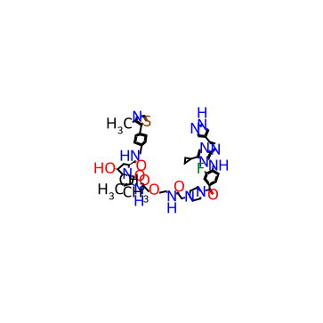 Cc1ncsc1-c1ccc(CNC(=O)[C@@H]2C[C@@H](O)CN2C(=O)[C@@H](NC(=O)COCCNC(=O)CN2CCN(C(=O)c3ccc(Nc4nc(C5CC5)cn5c(-c6cn[nH]c6)cnc45)c(F)c3)CC2)C(C)(C)C)cc1